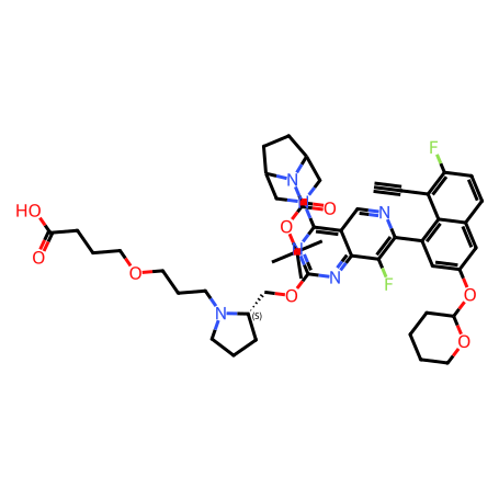 C#Cc1c(F)ccc2cc(OC3CCCCO3)cc(-c3ncc4c(N5CC6CCC(C5)N6C(=O)OC(C)(C)C)nc(OC[C@@H]5CCCN5CCCOCCCC(=O)O)nc4c3F)c12